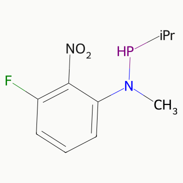 CC(C)PN(C)c1cccc(F)c1[N+](=O)[O-]